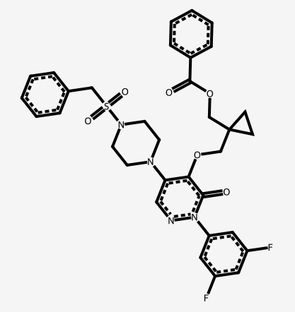 O=C(OCC1(COc2c(N3CCN(S(=O)(=O)Cc4ccccc4)CC3)cnn(-c3cc(F)cc(F)c3)c2=O)CC1)c1ccccc1